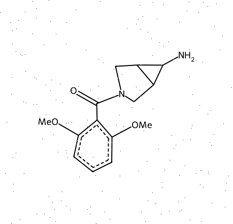 COc1cccc(OC)c1C(=O)N1CC2C(N)C2C1